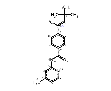 C/C(=C\C(C)(C)C)c1ccc(C(=O)Nc2cc(C)ccn2)cc1